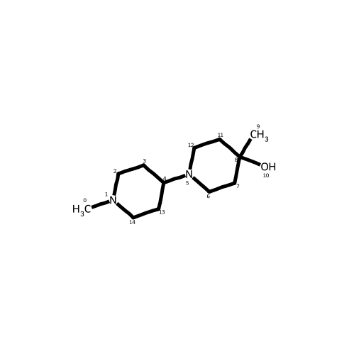 CN1CCC(N2CCC(C)(O)CC2)CC1